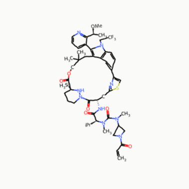 C=CC(=O)N1CC(N(C)C(=O)N(C)[C@H](C(=O)N[C@H]2Cc3nc(cs3)-c3ccc4c(c3)c(c(-c3cccnc3[C@H](C)OC)n4CC(F)(F)F)CC(C)(C)COC(=O)[C@@]3([SiH3])CCCN(N3)C2=O)C(C)C)C1